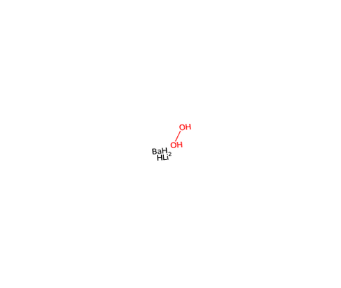 OO.[BaH2].[LiH]